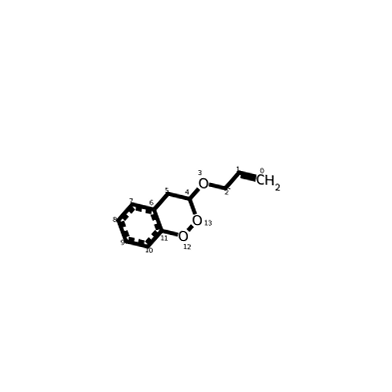 C=C[CH]OC1Cc2ccccc2OO1